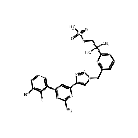 CC(C)(CNS(C)(=O)=O)c1cccc(Cn2cc(-c3cc(-c4cccc(C#N)c4F)nc(N)n3)nn2)n1